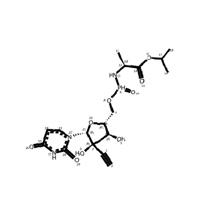 C#C[C@@]1(O)[C@H](O)[C@@H](CO[PH](=O)N[C@@H](C)C(=O)OC(C)C)O[C@H]1n1ccc(=O)[nH]c1=O